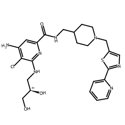 Nc1cc(C(=O)NCC2CCN(Cc3cnc(-c4ccccn4)s3)CC2)nc(NC[C@@H](O)CO)c1Cl